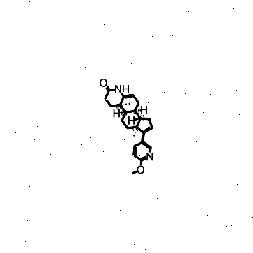 COc1ccc(C2=CC[C@H]3[C@@H]4CC=C5NC(=O)CC[C@]5(C)[C@H]4CC[C@]23C)cn1